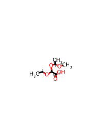 CCOC(OC(C)OC)C(=O)O